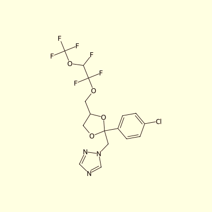 FC(OC(F)(F)F)C(F)(F)OCC1COC(Cn2cncn2)(c2ccc(Cl)cc2)O1